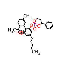 C=C(C)C1CCC(C)=CC1c1c(O)cc(CCCCC)cc1OP1(=O)OCCC(c2ccccc2)O1